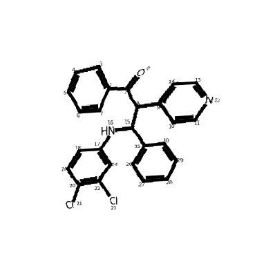 O=C(c1ccccc1)C(c1ccncc1)C(Nc1ccc(Cl)c(Cl)c1)c1ccccc1